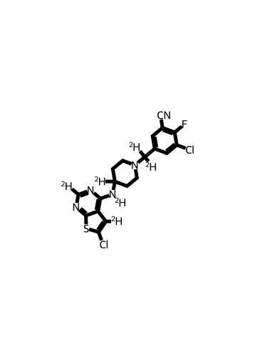 [2H]c1nc(N([2H])C2([2H])CCN(C([2H])([2H])c3cc(Cl)c(F)c(C#N)c3)CC2)c2c([2H])c(Cl)sc2n1